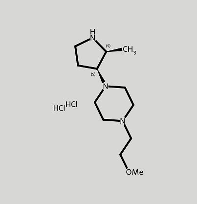 COCCN1CCN([C@H]2CCN[C@H]2C)CC1.Cl.Cl